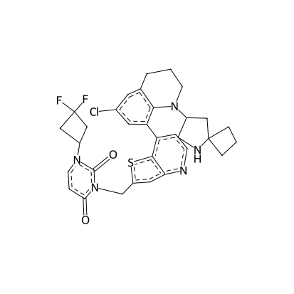 O=c1ccn(C2CC(F)(F)C2)c(=O)n1Cc1cc2nccc(-c3cc(Cl)cc4c3N(C3CNC5(CCC5)C3)CCC4)c2s1